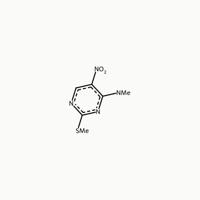 CNc1nc(SC)ncc1[N+](=O)[O-]